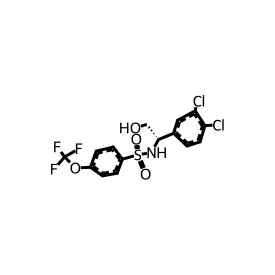 O=S(=O)(N[C@H](CO)c1ccc(Cl)c(Cl)c1)c1ccc(OC(F)(F)F)cc1